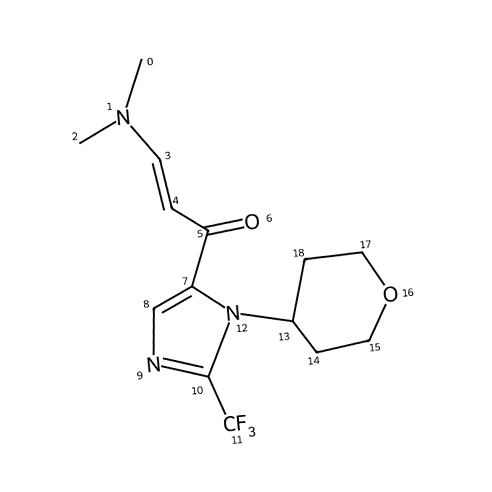 CN(C)C=CC(=O)c1cnc(C(F)(F)F)n1C1CCOCC1